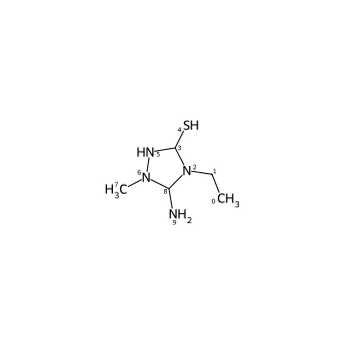 CCN1C(S)NN(C)C1N